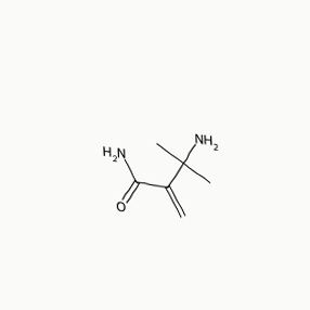 C=C(C(N)=O)C(C)(C)N